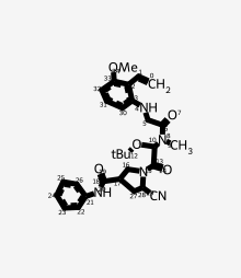 C=Cc1c(NCC(=O)N(C)C(OC(C)(C)C)C(=O)N2CC(C(=O)Nc3ccccc3)CC2C#N)cccc1OC